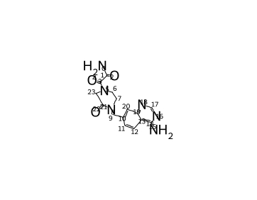 NC(=O)C(=O)N1CCN(Cc2ccc3c(N)ncnc3c2)C(=O)C1